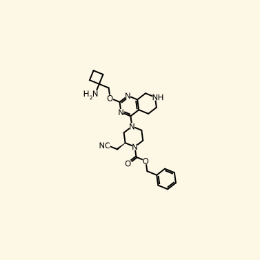 N#CC[C@H]1CN(c2nc(OCC3(N)CCC3)nc3c2CCNC3)CCN1C(=O)OCc1ccccc1